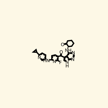 O=C(c1ccc(Nc2ccc(C3CC3)nc2)nc1F)c1c[nH]c2ncnc(N[C@@H]3CCCCC3=O)c12